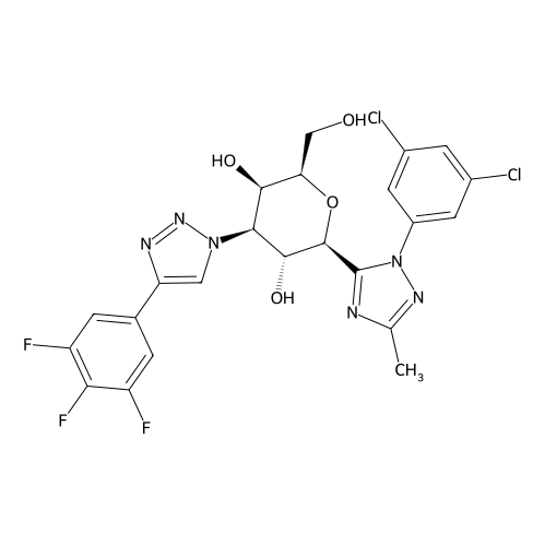 Cc1nc([C@@H]2O[C@H](CO)[C@H](O)[C@H](n3cc(-c4cc(F)c(F)c(F)c4)nn3)[C@H]2O)n(-c2cc(Cl)cc(Cl)c2)n1